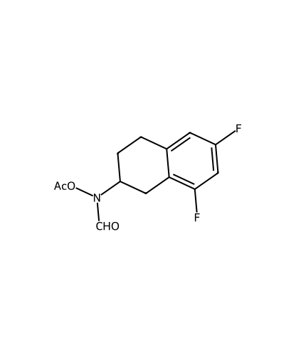 CC(=O)ON(C=O)C1CCc2cc(F)cc(F)c2C1